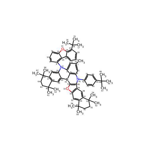 Cc1cc2c3c(c1)N(c1cccc4oc5c(C(C)(C)C)cccc5c14)c1cc4c(cc1B3c1oc3cc5c(cc3c1N2c1ccc(C(C)(C)C)cc1)C(C)(C)CCC5(C)C)C(C)(C)CCC4(C)C